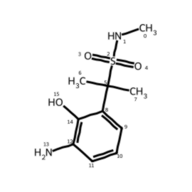 CNS(=O)(=O)C(C)(C)c1cccc(N)c1O